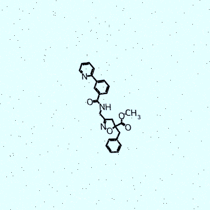 COC(=O)C1(Cc2ccccc2)CC(CNC(=O)c2cccc(-c3ccccn3)c2)=NO1